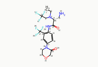 CCN(CC(F)(F)F)[C@H](CN)C(=O)Nc1ccc(N2CCOCC2=O)cc1C(F)(F)F